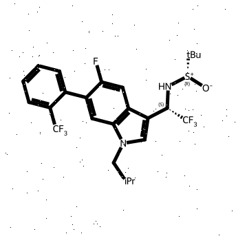 CC(C)Cn1cc([C@H](N[S@@+]([O-])C(C)(C)C)C(F)(F)F)c2cc(F)c(-c3ccccc3C(F)(F)F)cc21